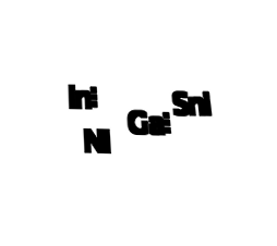 [Ga].[In].[Ni].[Sn]